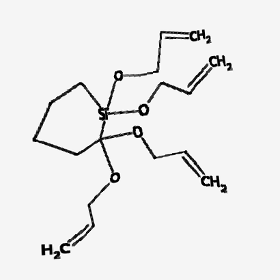 C=CCOC1(OCC=C)CCCC[Si]1(OCC=C)OCC=C